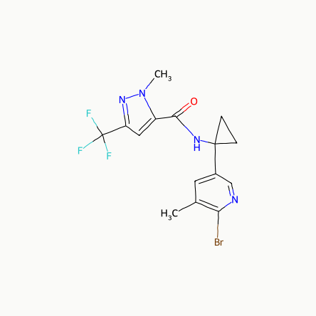 Cc1cc(C2(NC(=O)c3cc(C(F)(F)F)nn3C)CC2)cnc1Br